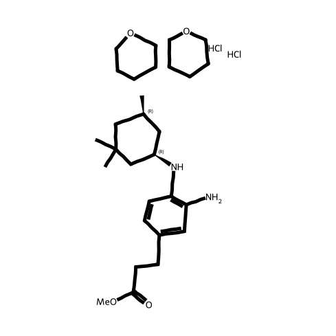 C1CCOCC1.C1CCOCC1.COC(=O)CCc1ccc(N[C@@H]2C[C@H](C)CC(C)(C)C2)c(N)c1.Cl.Cl